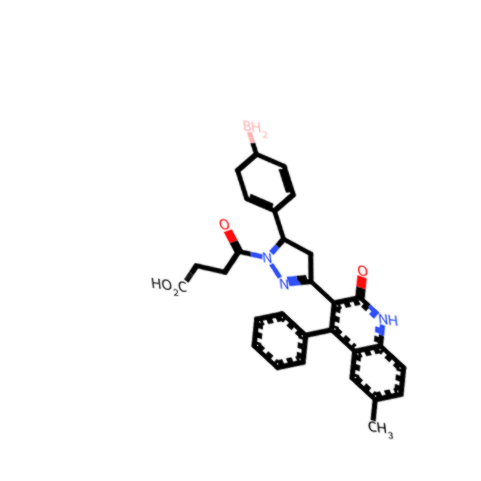 BC1C=CC(C2CC(c3c(-c4ccccc4)c4cc(C)ccc4[nH]c3=O)=NN2C(=O)CCC(=O)O)=CC1